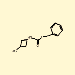 O=C(NC1CC(O)C1)OCc1ccccc1